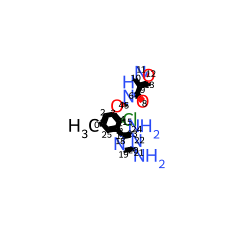 Cc1cc(OCNC(=O)c2cnoc2)c(Cl)c(-c2ncc(N)nc2N)c1